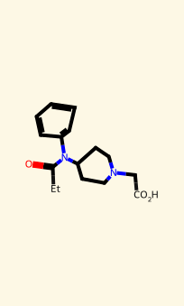 CCC(=O)N(c1ccccc1)C1CCN(CC(=O)O)CC1